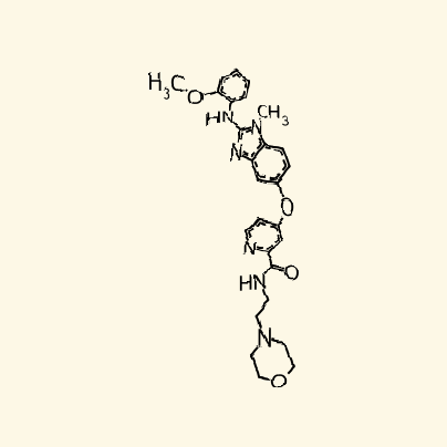 COc1ccccc1Nc1nc2cc(Oc3ccnc(C(=O)NCCN4CCOCC4)c3)ccc2n1C